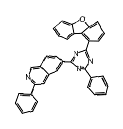 c1ccc(-c2cc3cc(-c4nc(-c5ccccc5)nc(-c5cccc6oc7ccccc7c56)n4)ccc3cn2)cc1